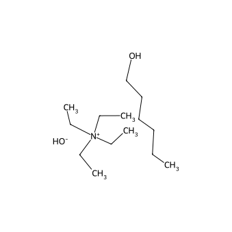 CCCCCCO.CC[N+](CC)(CC)CC.[OH-]